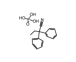 CCC(C#N)(c1ccccc1)c1ccccc1.O=P(O)(O)O